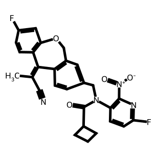 CC(C#N)=C1c2ccc(CN(C(=O)C3CCC3)c3ccc(F)nc3[N+](=O)[O-])cc2COc2cc(F)ccc21